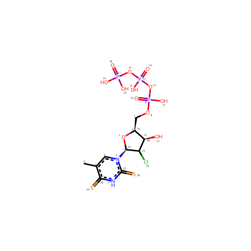 Cc1cn([C@H]2O[C@@H](COP(=O)(O)OP(=O)(O)OP(=O)(O)O)[C@@H](O)C2Cl)c(=S)[nH]c1=S